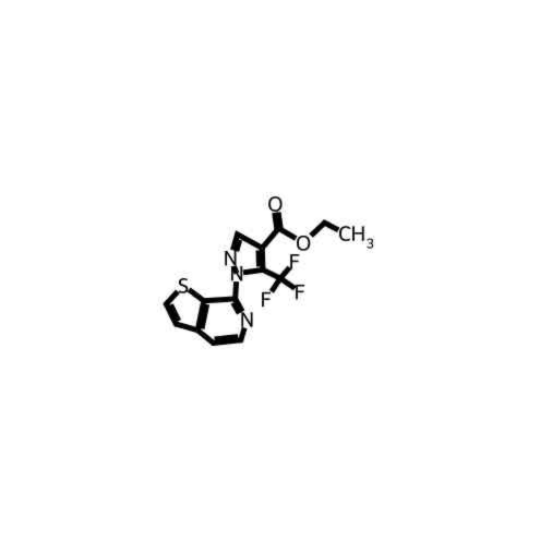 CCOC(=O)c1cnn(-c2nccc3ccsc23)c1C(F)(F)F